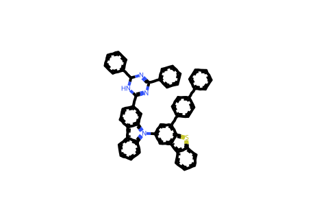 c1ccc(C2=NC(c3ccccc3)NC(c3ccc4c5ccccc5n(-c5cc(-c6ccc(-c7ccccc7)cc6)c6sc7ccccc7c6c5)c4c3)=N2)cc1